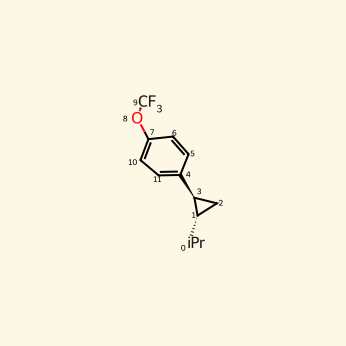 CC(C)[C@H]1C[C@@H]1c1ccc(OC(F)(F)F)cc1